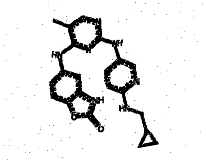 Cc1cnc(Nc2ccc(NCC3CC3)nc2)nc1Nc1ccc2oc(=O)[nH]c2c1